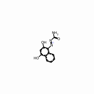 NC(=O)/N=N/c1c(O)cc(O)c2ccccc12